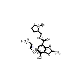 CCN1CCCC1CNC(=O)c1ccc(Cl)c2c1OC(C)C2.O=C(O)/C=C/C(=O)O